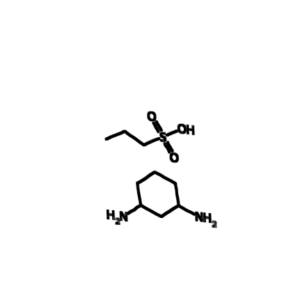 CCCS(=O)(=O)O.NC1CCCC(N)C1